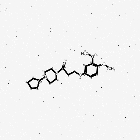 COc1ccc(OCCC(=O)N2CCN(C3CCCC3)CC2)cc1OC